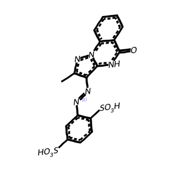 Cc1nn2c([nH]c(=O)c3ccccc32)c1/N=N/c1cc(S(=O)(=O)O)ccc1S(=O)(=O)O